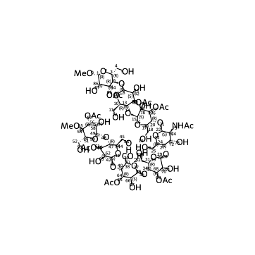 CO[C@@H]1O[C@H](CO)[C@@H](O[C@@H]2O[C@H](CO)[C@@H](O[C@@H]3O[C@H](CO)[C@@H](O[C@@H]4O[C@H](CO)[C@@H](O[C@@H]5O[C@H](CO)[C@@H](O[C@@H]6O[C@H](C(=O)O)[C@@H](O[C@@H]7O[C@H](CO)[C@@H](O[C@@H]8O[C@H](CO)[C@@H](OC)[C@H](OC(C)=O)[C@@H]8O)[C@H](OC(C)=O)[C@@H]7O)[C@H](OC(C)=O)[C@@H]6O)[C@H](OC(C)=O)[C@@H]5O)[C@@H](O)[C@@H]4NC(C)=O)[C@H](OC(C)=O)[C@@H]3O)[C@H](OC(C)=O)[C@@H]2O)[C@H](OC(C)=O)[C@@H]1O